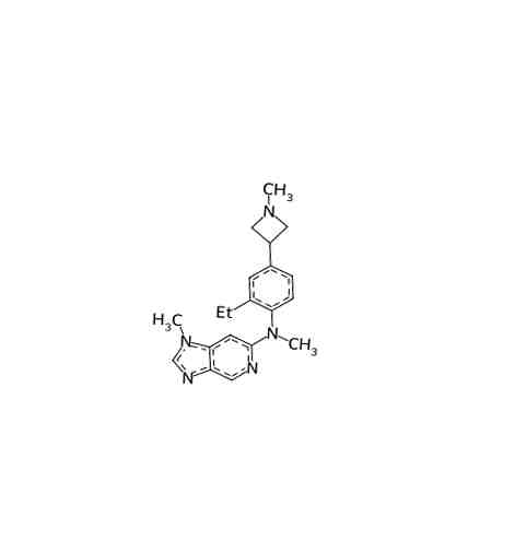 CCc1cc(C2CN(C)C2)ccc1N(C)c1cc2c(cn1)ncn2C